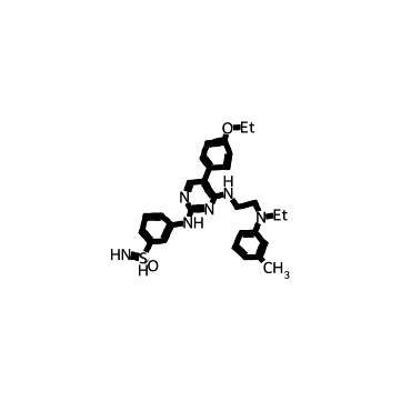 CCOc1ccc(-c2cnc(Nc3cccc([SH](=N)=O)c3)nc2NCCN(CC)c2cccc(C)c2)cc1